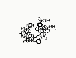 CC[C@H](C)[C@H](NC(=O)[C@H](CC(C)C)NC(=O)c1cnccn1)C(=O)N[C@@H](CC1CCCCC1)C(=O)CCC(N)C(=O)C(=O)N(C(=O)CN)S(=O)(=O)c1cc(C(=O)O)ccc1Cl